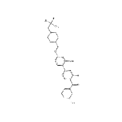 CC(C)(F)CN1CCC(COc2ccc(-c3ccc(C(=O)N4CCC[C@@H](O)C4)c(F)c3)c(C#N)c2)CC1